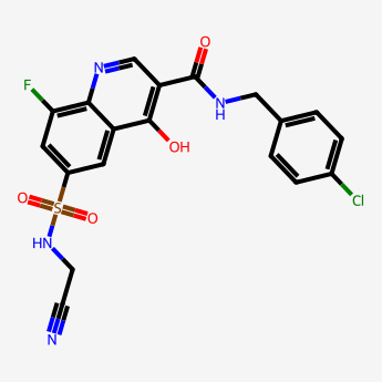 N#CCNS(=O)(=O)c1cc(F)c2ncc(C(=O)NCc3ccc(Cl)cc3)c(O)c2c1